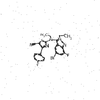 CCN(c1nc(-c2ccc(F)cc2)c(C#N)s1)c1c2cc(Br)cc(F)c2nn1CC